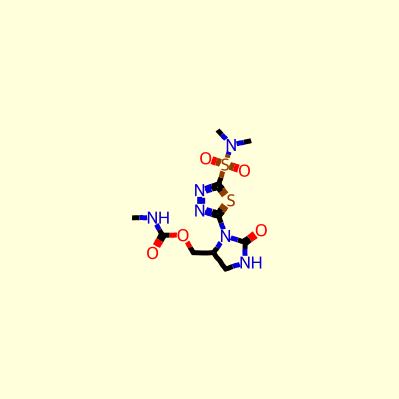 CNC(=O)OCC1CNC(=O)N1c1nnc(S(=O)(=O)N(C)C)s1